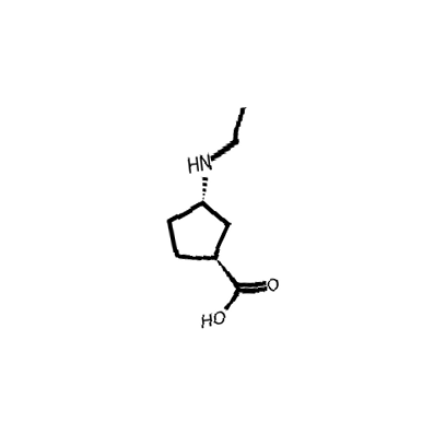 CCN[C@H]1CC[C@H](C(=O)O)C1